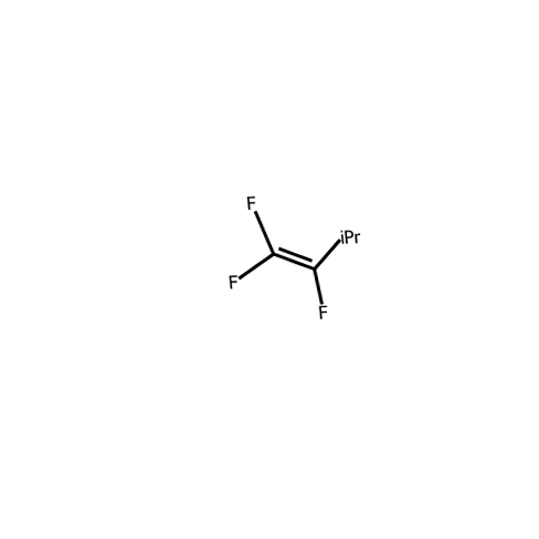 CC(C)C(F)=C(F)F